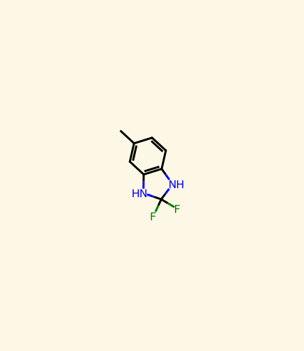 Cc1ccc2c(c1)NC(F)(F)N2